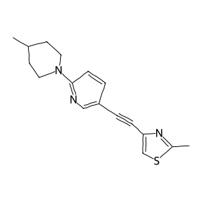 Cc1nc(C#Cc2ccc(N3CCC(C)CC3)nc2)cs1